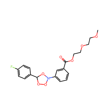 COCCOCCOC(=O)c1cccc(N2OOC(c3ccc(F)cc3)O2)c1